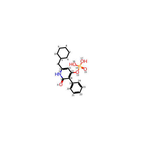 O=c1[nH]c(CC2CCCCC2)cc(OP(=O)(O)O)c1-c1ccccc1